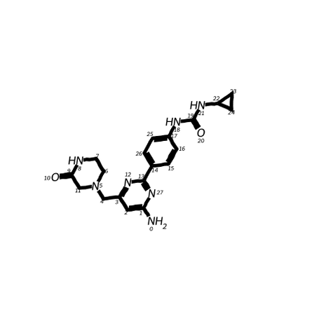 Nc1cc(CN2CCNC(=O)C2)nc(-c2ccc(NC(=O)NC3CC3)cc2)n1